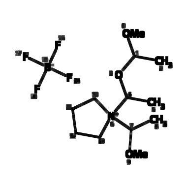 COC(C)OC(C)[N+]1(C(C)OC)CCCC1.F[B-](F)(F)F